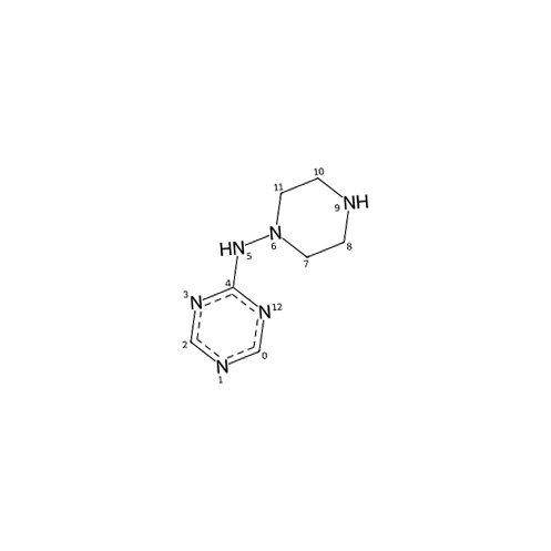 c1ncnc(NN2CCNCC2)n1